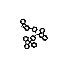 c1ccc(C2(c3ccc(N(c4cccc(-c5ccc6oc7ccccc7c6c5)c4)c4cc5ccccc5c5ccccc45)cc3)c3ccccc3-c3ccccc32)cc1